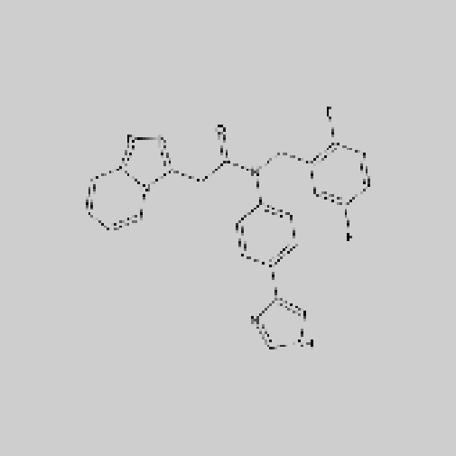 O=C(Cc1nnc2ccccn12)N(Cc1cc(F)ccc1F)c1ccc(-c2c[nH]cn2)cc1